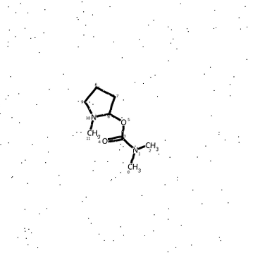 CN(C)C(=O)OC1CCCN1C